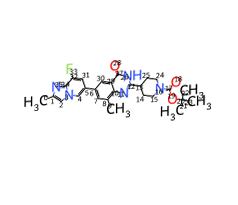 Cc1cn2cc(-c3cc(C)c4nc(C5CCN(C(=O)OC(C)(C)C)CC5)[nH]c(=O)c4c3)cc(F)c2n1